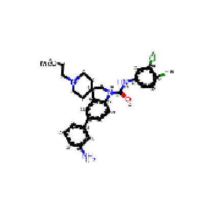 COCCN1CCC2(CC1)CN(C(=O)Nc1ccc(F)c(Cl)c1)c1ccc(-c3cccc(N)c3)cc12